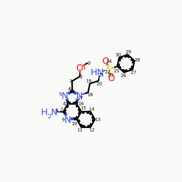 COCCc1nc2c(N)nc3ccccc3c2n1CCCNS(=O)(=O)c1ccccc1